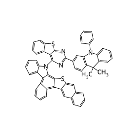 CC1(C)c2ccccc2N(c2ccccc2)c2cc(-c3nc(-n4c5ccccc5c5c6ccccc6c6c7cc8ccccc8cc7sc6c54)c4c(n3)sc3ccccc34)ccc21